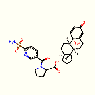 C[C@]12CC[C@H]3[C@@H](CCC4=CC(=O)C=C[C@@]43O)[C@@H]1CC[C@@H]2OC(=O)[C@H]1CCCN1C(=O)c1ccc(S(N)(=O)=O)nc1